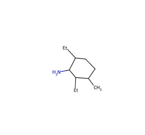 CCC1CCC(C)C(CC)C1N